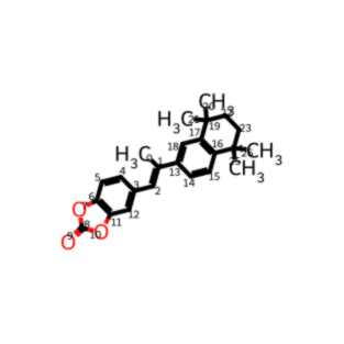 CC(=Cc1ccc2oc(=O)oc2c1)c1ccc2c(c1)C(C)(C)CCC2(C)C